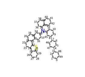 c1ccc(-c2ccc(-c3cccc(N(c4ccc5c(ccc6ccc7c8ccccc8sc7c65)c4)c4cccc5ccccc45)c3)cc2)cc1